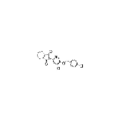 O=C1C2=C(CCCC2)C(=O)N1c1cc(Cl)c(OCc2ccc(Cl)cc2)cn1